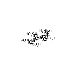 Nc1nc(Cl)nc(Nc2ccc(/N=N/c3ccc(/N=N/c4cc(S(=O)(=O)O)ccc4S(=O)(=O)O)c4cc(S(=O)(=O)O)ccc34)c3cccc(S(=O)(=O)O)c23)n1